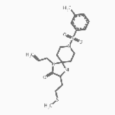 C=CCN1C(=O)C(CCSC)NC12CCN(S(=O)(=O)c1cccc(C)c1)CC2